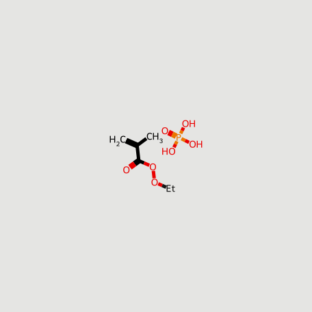 C=C(C)C(=O)OOCC.O=P(O)(O)O